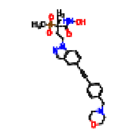 C[C@](CCn1ncc2cc(C#Cc3ccc(CN4CCOCC4)cc3)ccc21)(C(=O)NO)S(C)(=O)=O